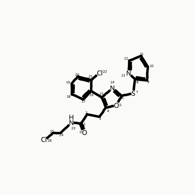 O=C(CCc1oc(Sc2ccccn2)nc1-c1ccccc1Cl)NCCCl